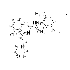 Cc1cnc(N)nc1N[C@@H](C)c1cc2cccc(Cl)c2c(CCN2CCOCC2)n1